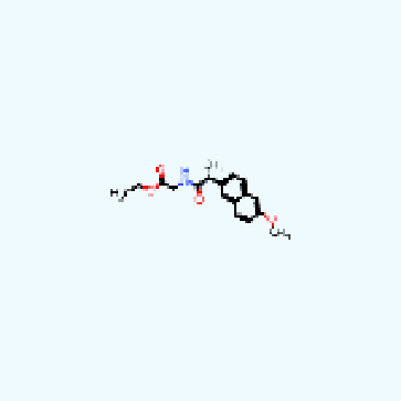 CCOC(=O)CNC(=O)[C@H](C)c1ccc2cc(OC)ccc2c1